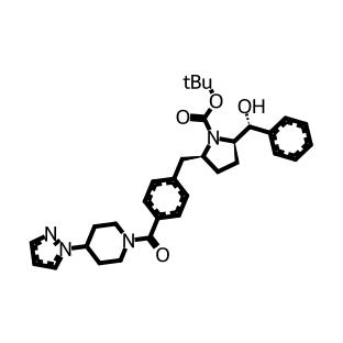 CC(C)(C)OC(=O)N1[C@H](Cc2ccc(C(=O)N3CCC(n4cccn4)CC3)cc2)CC[C@@H]1[C@H](O)c1ccccc1